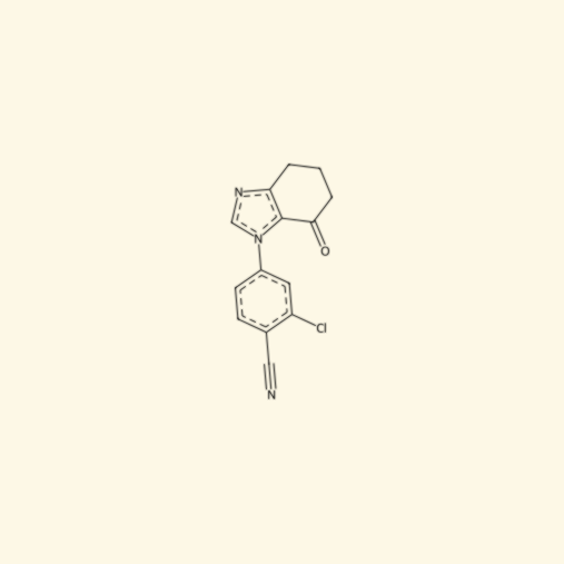 N#Cc1ccc(-n2cnc3c2C(=O)CCC3)cc1Cl